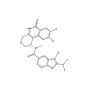 CN(C(=O)c1ccc2nn(C(F)F)c(Cl)c2c1)[C@@H]1COCc2[nH]c(=O)c3cc(F)c(F)cc3c21